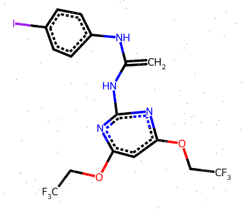 C=C(Nc1ccc(I)cc1)Nc1nc(OCC(F)(F)F)cc(OCC(F)(F)F)n1